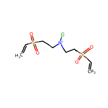 C=CS(=O)(=O)CC[N+](Cl)CCS(=O)(=O)C=C